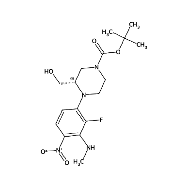 CNc1c([N+](=O)[O-])ccc(N2CCN(C(=O)OC(C)(C)C)C[C@H]2CO)c1F